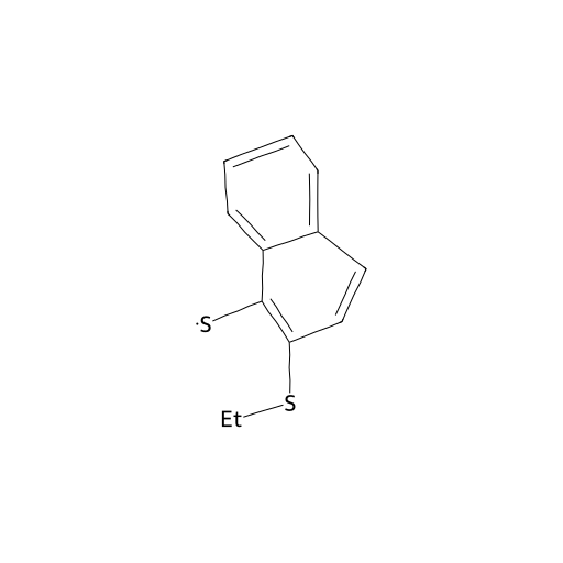 CCSc1ccc2ccccc2c1[S]